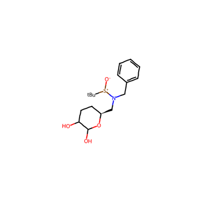 CC(C)(C)[S+]([O-])N(Cc1ccccc1)C[C@@H]1CCC(O)C(O)O1